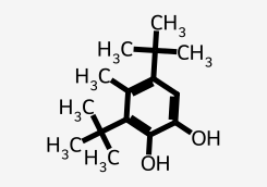 Cc1c(C(C)(C)C)cc(O)c(O)c1C(C)(C)C